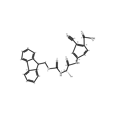 C[C@H](NC(=O)OCC1c2ccccc2-c2ccccc21)C(=O)Nc1ccc(C(=O)O)c(C#N)c1